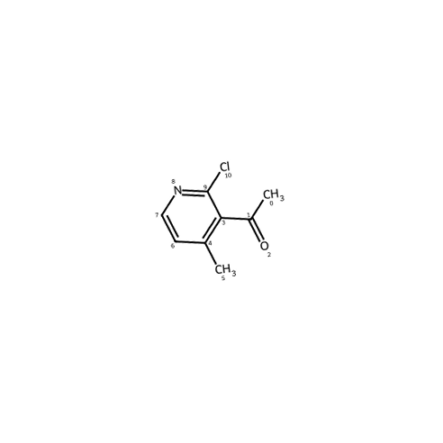 CC(=O)c1c(C)ccnc1Cl